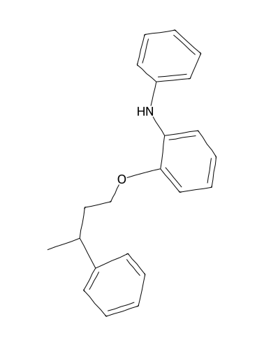 CC(CCOc1ccccc1Nc1ccccc1)c1ccccc1